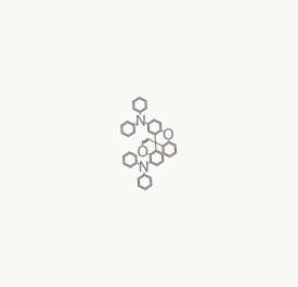 c1ccc(N(c2ccccc2)c2ccc3c(c2)C2(c4ccccc4O3)c3ccccc3Oc3c(N(c4ccccc4)c4ccccc4)cccc32)cc1